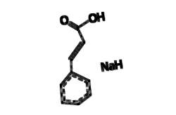 O=C(O)C=Cc1ccccc1.[NaH]